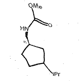 COC(=O)N[C@@H]1CCC(C(C)C)C1